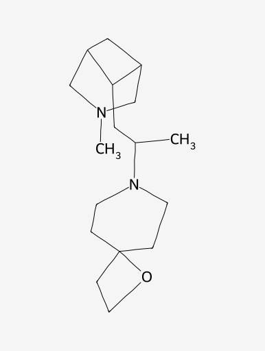 CC(CC1C2CC1CN(C)C2)N1CCC2(CCO2)CC1